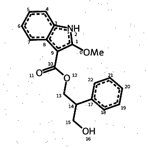 COc1[nH]c2ccccc2c1C(=O)OCC(CO)c1ccccc1